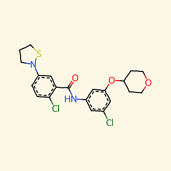 O=C(Nc1cc(Cl)cc(OC2CCOCC2)c1)c1cc(N2CCCS2)ccc1Cl